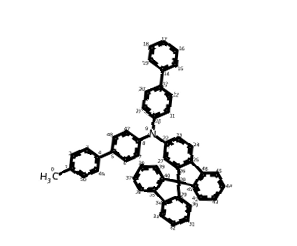 Cc1ccc(-c2ccc(N(c3ccc(-c4ccccc4)cc3)c3ccc4c(c3)C3(c5ccccc5-c5ccccc53)c3ccccc3-4)cc2)cc1